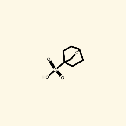 O=S(=O)(O)C12CCC(CC1)CC2